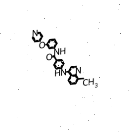 CCc1cccc2c(Nc3ccc(C(=O)Nc4cccc(Oc5ccncc5)c4)cc3)ccnc12